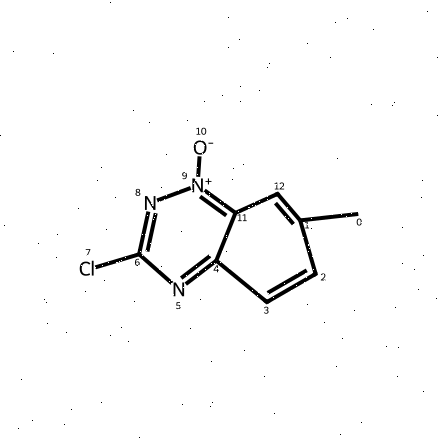 Cc1ccc2nc(Cl)n[n+]([O-])c2c1